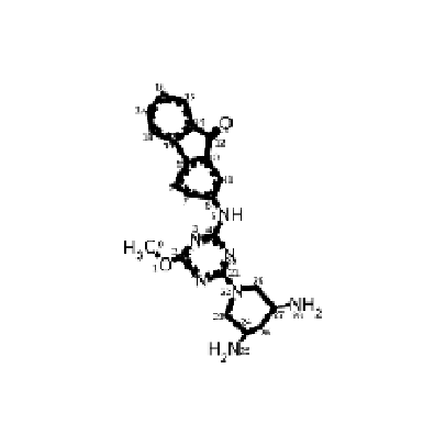 COc1nc(Nc2ccc3c(c2)C(=O)c2ccccc2-3)nc(N2C[C@H](N)C[C@H](N)C2)n1